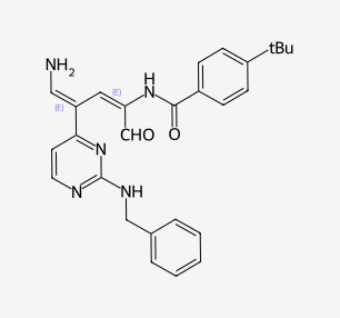 CC(C)(C)c1ccc(C(=O)N/C(C=O)=C/C(=C\N)c2ccnc(NCc3ccccc3)n2)cc1